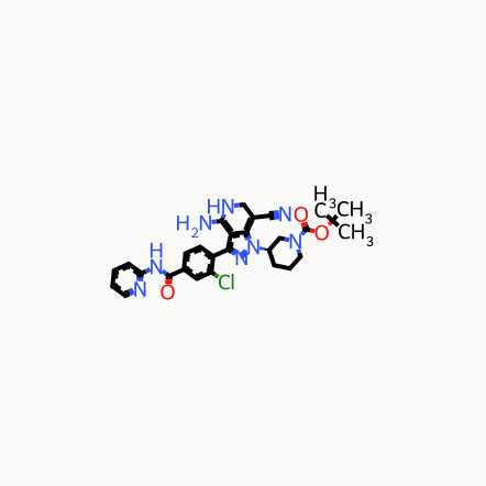 CC(C)(C)OC(=O)N1CCC[C@@H](n2nc(-c3ccc(C(=O)Nc4ccccn4)cc3Cl)c3c2=C(C#N)CNC=3N)C1